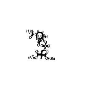 CC(C)(C)OC(=O)C(C)(COS(=O)(=O)ON1C(=O)N2C[C@H]1CC[C@H]2C(N)=O)C(=O)OC(C)(C)C